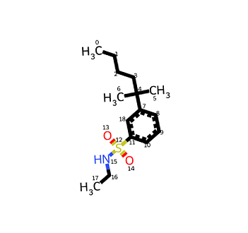 CCCCC(C)(C)c1cccc(S(=O)(=O)NCC)c1